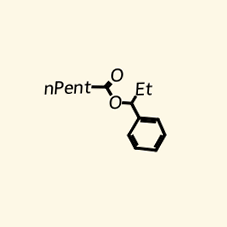 CCCCCC(=O)OC(CC)c1ccccc1